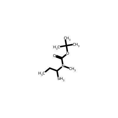 CCC([SiH3])N(C)C(=O)OC(C)(C)C